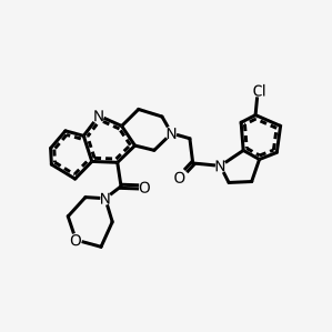 O=C(c1c2c(nc3ccccc13)CCN(CC(=O)N1CCc3ccc(Cl)cc31)C2)N1CCOCC1